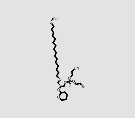 CC(C)(C)SCCCCCCCCCCCCCCCCOC[C@@H](COP(=O)(OCCBr)OCCC#N)OC1CCCCO1